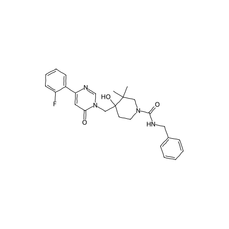 CC1(C)CN(C(=O)NCc2ccccc2)CCC1(O)Cn1cnc(-c2ccccc2F)cc1=O